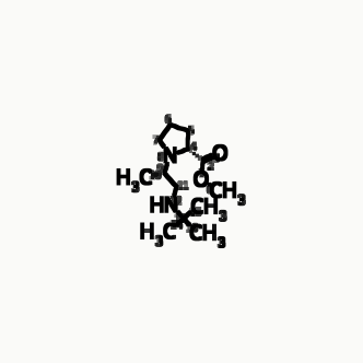 COC(=O)[C@H]1CCCN1[C@@H](C)CNC(C)(C)C